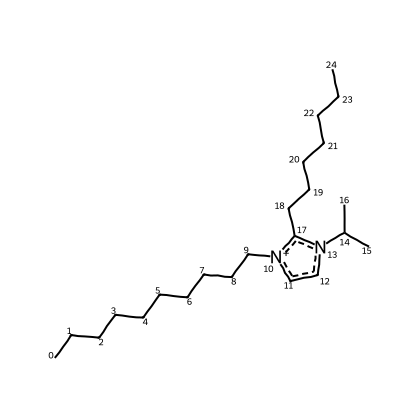 CCCCCCCCCC[n+]1ccn(C(C)C)c1CCCCCCC